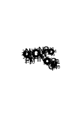 O=S(=O)(c1ccc(Nc2nc(OC3CCCC3)nc3c2CCN(c2ncccc2C(F)(F)F)CC3)cc1)C(F)(F)F